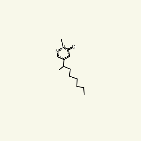 CCCCCCC(C)c1cnn(C)c(=O)c1